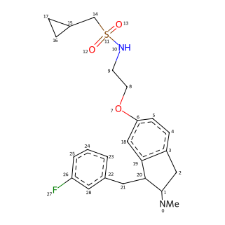 CNC1Cc2ccc(OCCNS(=O)(=O)CC3CC3)cc2C1Cc1cccc(F)c1